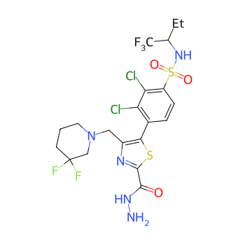 CCC(NS(=O)(=O)c1ccc(-c2sc(C(=O)NN)nc2CN2CCCC(F)(F)C2)c(Cl)c1Cl)C(F)(F)F